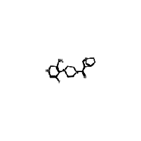 NC1=C(N2CCN(C(=O)C3CN4CCC3C4)CC2)C(F)=CNC1